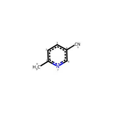 Cc1ccc(C#N)[c]n1